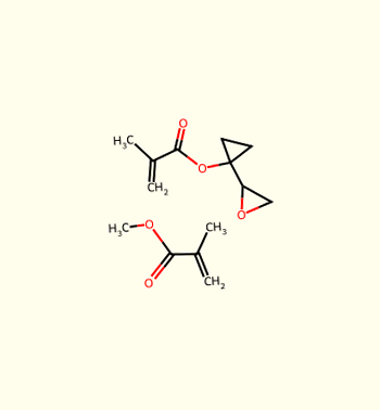 C=C(C)C(=O)OC.C=C(C)C(=O)OC1(C2CO2)CC1